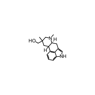 CN1CC(C)(CO)C[C@H]2c3cccc4[nH]cc(c34)C[C@@H]21